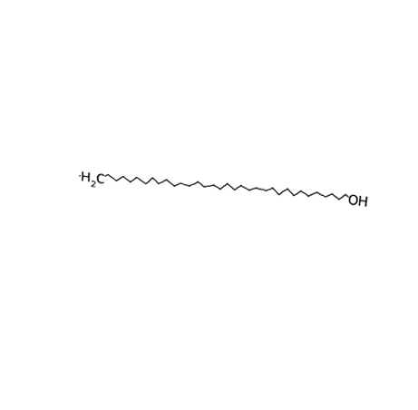 [CH2]CCCCCCCCCCCCCCCCCCCCCCCCCCCCCCCCCO